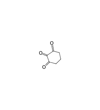 O=C1CCCC(=O)C1=O